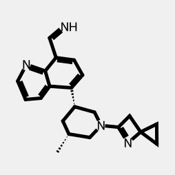 C[C@@H]1C[C@H](c2ccc(C=N)c3ncccc23)CN(C2=NC3(CC3)C2)C1